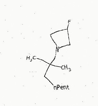 CCCCCCC(C)(C)N1CC(F)C1